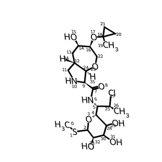 CSC1O[C@H]([C@H](NC(=O)[C@H]2NC[C@@H]3C[C@@H](O)[C@@H](OC4(C)CC4)CO[C@H]32)[C@H](C)Cl)C(O)C(O)[C@H]1O